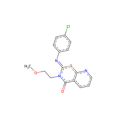 COCCn1c(=O)c2cccnc2s/c1=N\c1ccc(Cl)cc1